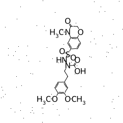 COc1ccc(CCN(NS(=O)(=O)c2ccc3c(c2)N(C)C(=O)CO3)C(=O)O)cc1OC